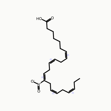 CC/C=C\C/C=C\C/C(=C\C/C=C\C/C=C\CCCCCC(=O)O)[N+](=O)[O-]